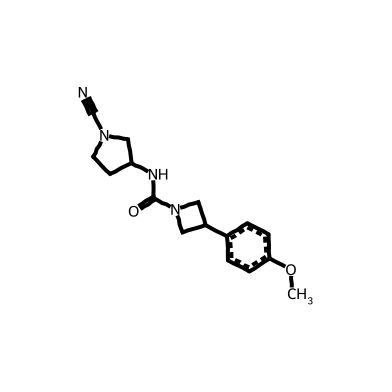 COc1ccc(C2CN(C(=O)NC3CCN(C#N)C3)C2)cc1